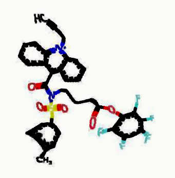 C#CC[n+]1c2ccccc2c(C(=O)N(CCCC(=O)Oc2c(F)c(F)c(F)c(F)c2F)S(=O)(=O)c2ccc(C)cc2)c2ccccc21